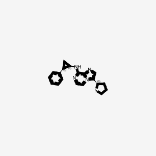 c1ccc([C@@H]2C[C@H]2Nc2nccn3c([C@@H]4CCCS4)cnc23)cc1